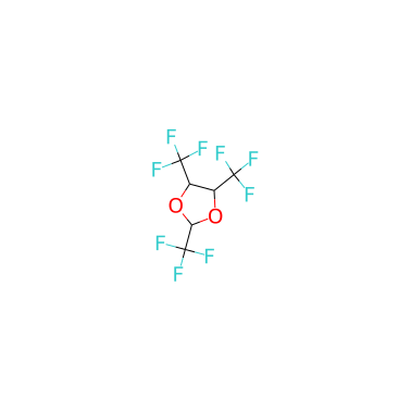 FC(F)(F)C1OC(C(F)(F)F)C(C(F)(F)F)O1